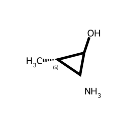 C[C@H]1CC1O.N